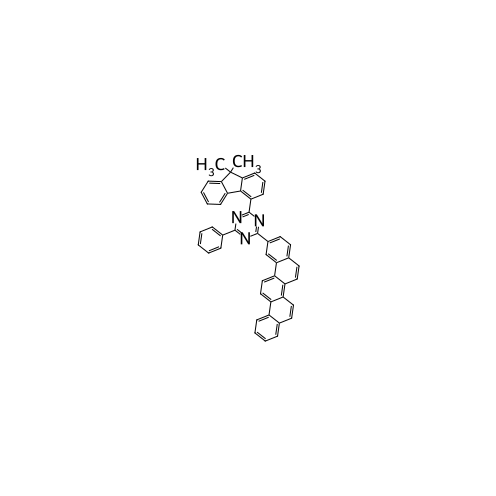 CC1(C)c2ccccc2-c2c(-c3nc(-c4ccccc4)nc(-c4ccc5ccc6c(ccc7c8ccccc8ccc76)c5c4)n3)cccc21